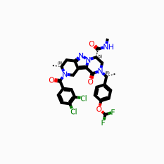 CNC(=O)[C@@H]1CN([C@H](C)c2ccc(OC(F)F)cc2)C(=O)c2c3c(nn21)C[C@@H](C)N(C(=O)c1ccc(Cl)c(Cl)c1)C3